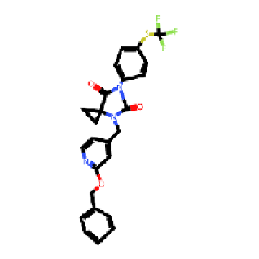 O=C1N(c2ccc(SC(F)(F)F)cc2)C(=O)C2(CC2)N1Cc1ccnc(OCc2ccccc2)c1